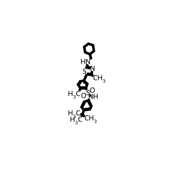 Cc1ccc(-c2sc(NCC3CCCCC3)nc2C)cc1S(=O)(=O)Nc1ccc(C(C)(C)C)cc1